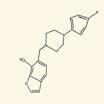 Oc1c(CN2CCN(c3ccc(F)cc3)CC2)ccc2ccoc12